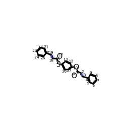 O=C(/C=C/c1ccccc1)Oc1ccc(SC(=O)/C=C/c2ccccc2)cc1